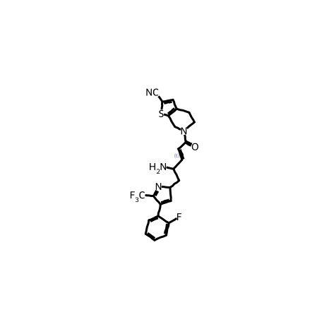 N#Cc1cc2c(s1)CN(C(=O)/C=C/C(N)CC1C=C(c3ccccc3F)C(C(F)(F)F)=N1)CC2